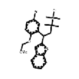 COCOc1ccc(Br)cc1C(CC(C)(C)[Si](C)(C)O)c1cc2ccccc2s1